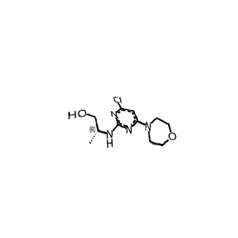 C[C@H](CO)Nc1nc(Cl)cc(N2CCOCC2)n1